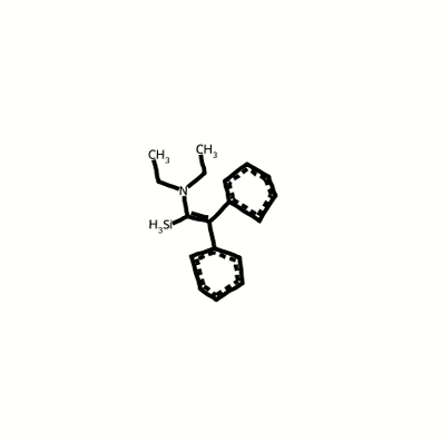 CCN(CC)C([SiH3])=C(c1ccccc1)c1ccccc1